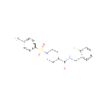 O=C(NCc1ccccc1F)C1CCN(S(=O)(=O)c2ccc(C(F)(F)F)cc2)CC1